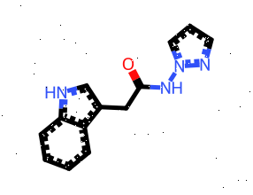 O=C(Cc1c[nH]c2ccccc12)Nn1cccn1